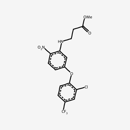 COC(=O)CCNc1cc(Oc2ccc(C(F)(F)F)cc2Cl)ccc1[N+](=O)[O-]